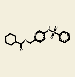 O=C(OCc1ccc(NS(=O)(=O)c2ccccc2)cn1)C1CCCCC1